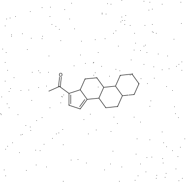 CC(=O)C1=CC=C2C1CCC1C2CCC2CCCCC21